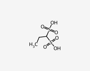 CC[C](S(=O)(=O)O)S(=O)(=O)O